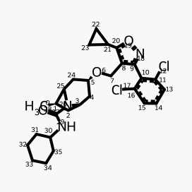 C[C@@H]1CC2C[C@H](OCc3c(-c4c(Cl)cccc4Cl)noc3C3CC3)CC1N2C(=O)NC1CCCCC1